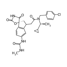 CNC(=O)Nc1ccc2c(c1)C(CC(=O)N(Cc1ccc(Cl)cc1)[C@@H](C)C1CC1)C[C@@]21OC(=O)NC1=O